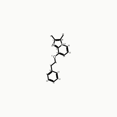 Cc1nc2c(OCCc3ccccc3)cccn2c1C